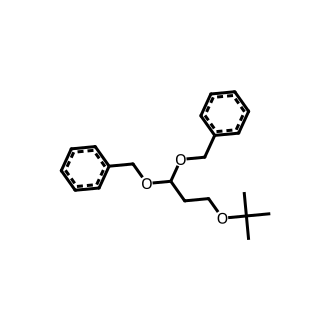 CC(C)(C)OCCC(OCc1ccccc1)OCc1ccccc1